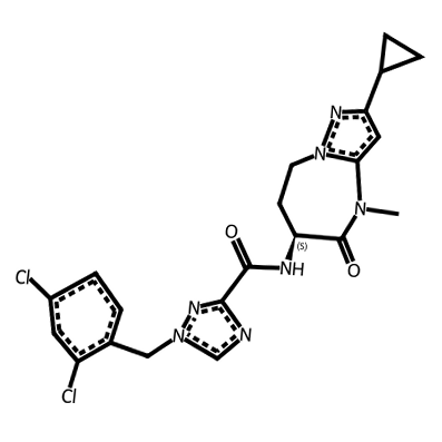 CN1C(=O)[C@@H](NC(=O)c2ncn(Cc3ccc(Cl)cc3Cl)n2)CCn2nc(C3CC3)cc21